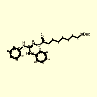 CCCCCCCCCCCCCCCCCC(=O)ON=C(Nc1ccccc1)Nc1ccccc1